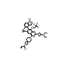 C=CC(=O)N1CC2(CCN(c3nc(N4CC(N(CC)CC)C4)nc4c(OCC(F)(F)F)c(-c5c(C)ccc6[nH]ncc56)c(C5CC5)cc34)CC2)C1